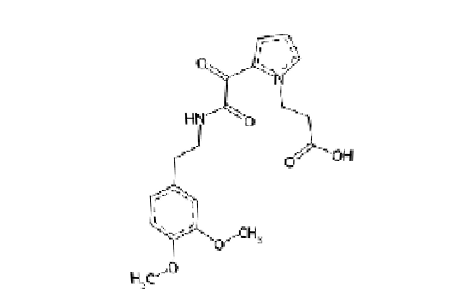 COc1ccc(CCNC(=O)C(=O)c2cccn2CCC(=O)O)cc1OC